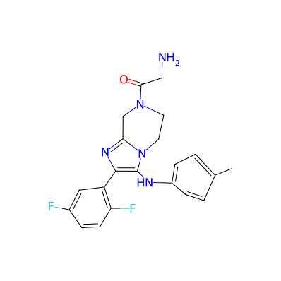 Cc1ccc(Nc2c(-c3cc(F)ccc3F)nc3n2CCN(C(=O)CN)C3)cc1